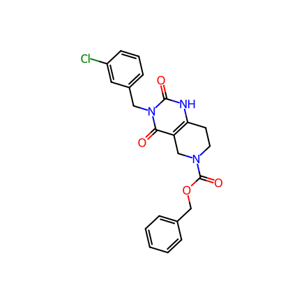 O=C(OCc1ccccc1)N1CCc2[nH]c(=O)n(Cc3cccc(Cl)c3)c(=O)c2C1